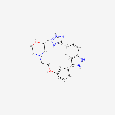 c1cc(OCCN2CCOCC2)cc(-c2n[nH]c3ccc(-c4nnn[nH]4)cc23)c1